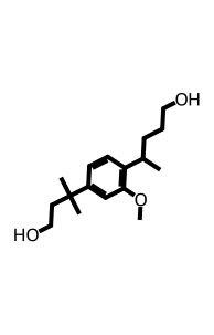 COc1cc(C(C)(C)CCO)ccc1C(C)CCCO